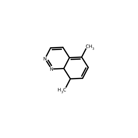 CC1=C2C=CN=NC2C(C)C=C1